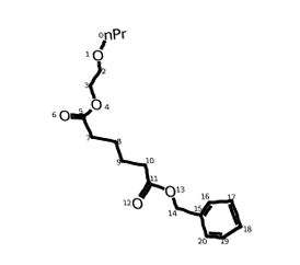 CCCOCCOC(=O)CCCCC(=O)OCc1ccccc1